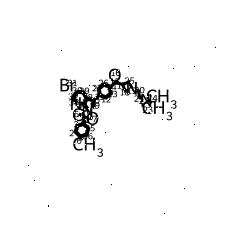 Cc1ccc(S(=O)(=O)n2cc(-c3ccc(C(=O)C4CN(CCN(C)C)C4)cc3)c3cc(Br)cnc32)cc1